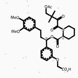 COc1ccc(CC[C@@H](OC(=O)[C@@H]2CCCCN2C(=O)C(=O)C(C)(C)COC(C)=O)c2cccc(OCC(=O)O)c2)cc1OC